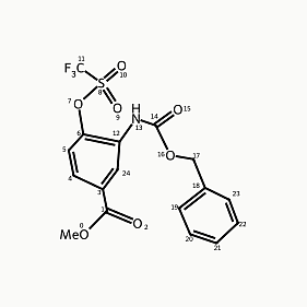 COC(=O)c1ccc(OS(=O)(=O)C(F)(F)F)c(NC(=O)OCc2ccccc2)c1